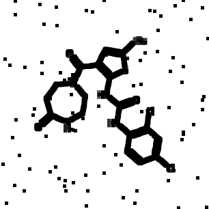 CC(C)(C)c1cc(C(=O)N2CCNC(=O)CC2)c(NC(=O)Nc2ccc(Cl)cc2Cl)s1